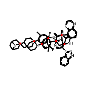 C=C1CCC(c2c(F)cc(N3CCC(CCN4C5CC4CN(C4CCN(c6cc(CC)c(Nc7ncc(-n8nnc9ccccc98)c(Nc8ccc9nccnc9c8P(=C)(C)C)n7)cc6C)CC4)C5)CC3)cc2F)C(=C)N1